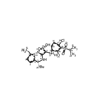 Cc1ccc([C@H](Nc2no[n+](O)c2Nc2ccc(Cl)c(S(=O)(=O)N(C)C)c2O)C(C)(C)C)s1